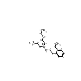 C=Cc1ccccc1CCO[SiH](CCC)CCOCC